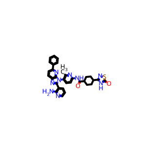 Cc1nc(NC(=O)C2CCC(c3nsc(=O)[nH]3)CC2)ccc1-n1c(-c2cccnc2N)nc2ccc(-c3ccccc3)nc21